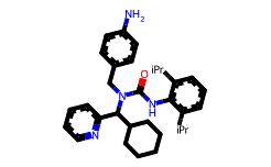 CC(C)c1cccc(C(C)C)c1NC(=O)N(Cc1ccc(N)cc1)C(c1ccccn1)C1CCCCC1